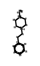 CC(C)N1CCN(CCc2ccccc2)CC1